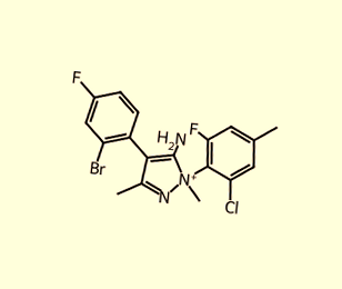 CC1=N[N+](C)(c2c(F)cc(C)cc2Cl)C(N)=C1c1ccc(F)cc1Br